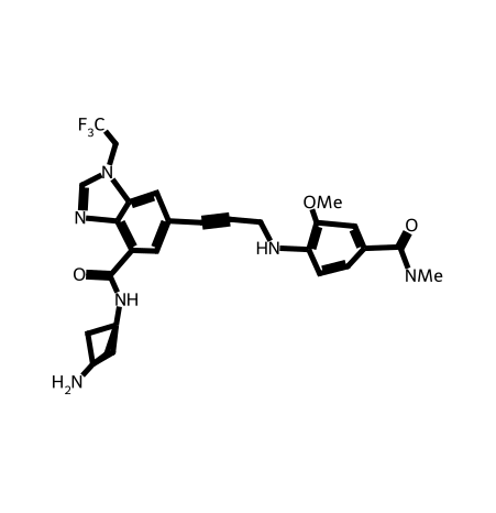 CNC(=O)c1ccc(NCC#Cc2cc(C(=O)NC34CC(N)(C3)C4)c3ncn(CC(F)(F)F)c3c2)c(OC)c1